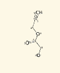 C#CCOC(=O)C[O]